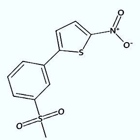 CS(=O)(=O)c1cccc(-c2ccc([N+](=O)[O-])s2)c1